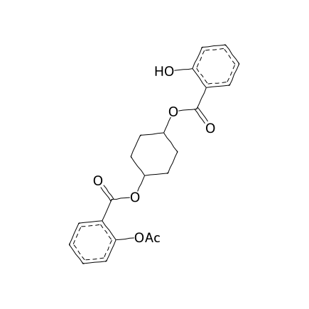 CC(=O)Oc1ccccc1C(=O)OC1CCC(OC(=O)c2ccccc2O)CC1